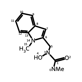 CNC(=O)N(O)Cc1cc2ccccc2n1C